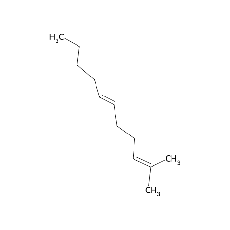 CCCCC=CCCC=C(C)C